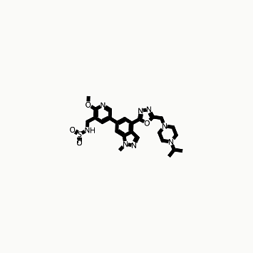 COc1ncc(-c2cc(-c3nnc(CN4CCN(C(C)C)CC4)o3)c3cnn(C)c3c2)cc1CN[SH](=O)=O